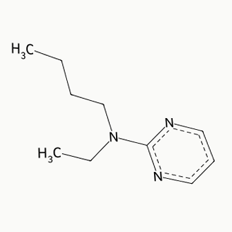 CCCCN(CC)c1ncccn1